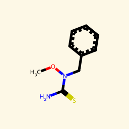 CON(Cc1ccccc1)C(N)=S